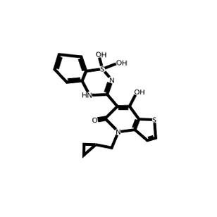 O=c1c(C2=NS(O)(O)c3ccccc3N2)c(O)c2sccc2n1CC1CC1